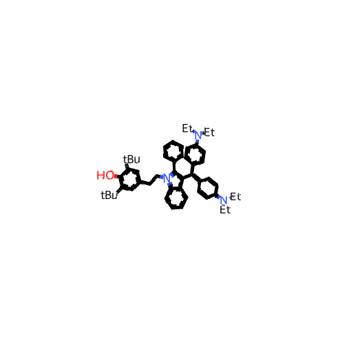 CCN(CC)c1ccc(C(=C2C=CC(=[N+](CC)CC)C=C2)c2c(-c3ccccc3)n(CCc3cc(C(C)(C)C)c(O)c(C(C)(C)C)c3)c3ccccc23)cc1